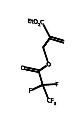 C=C(COC(=O)C(F)(F)C(F)(F)F)C(=O)OCC